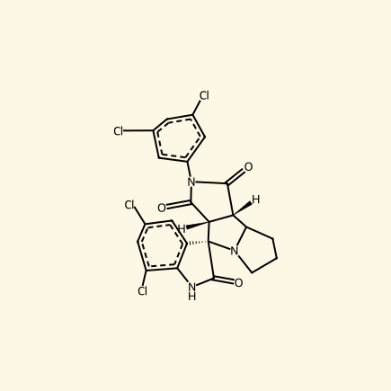 O=C1[C@@H]2C3CCCN3[C@@]3(C(=O)Nc4c(Cl)cc(Cl)cc43)[C@@H]2C(=O)N1c1cc(Cl)cc(Cl)c1